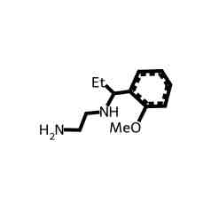 CCC(NCCN)c1ccccc1OC